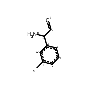 NC(C=O)c1cccc(I)c1